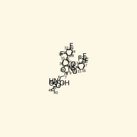 O=S(=O)(NC(O)CC[C@H]1CN(S(=O)(=O)c2cccc(C(F)(F)F)c2)c2cc(-c3ccc(F)cc3F)ccc2O1)C1CC1